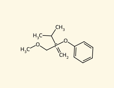 C=P(COC)(Oc1ccccc1)C(C)C